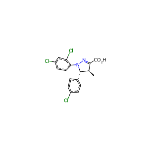 C[C@@H]1C(C(=O)O)=NN(c2ccc(Cl)cc2Cl)[C@H]1c1ccc(Cl)cc1